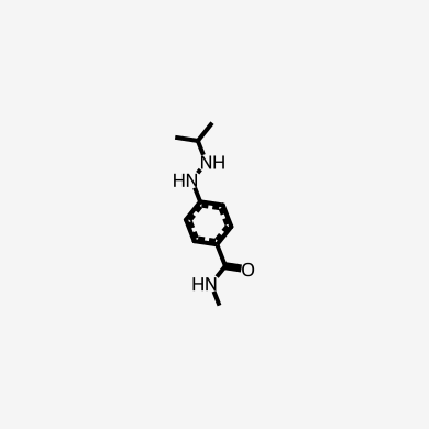 CNC(=O)c1ccc(NNC(C)C)cc1